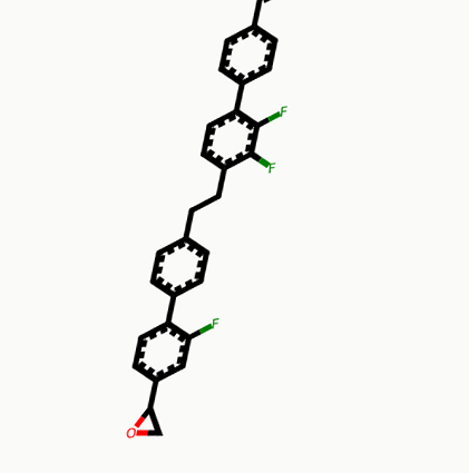 C=Cc1ccc(-c2ccc(CCc3ccc(-c4ccc(C5CO5)cc4F)cc3)c(F)c2F)cc1